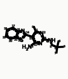 Cc1nc(NCC(C)(C)C)nc(N)c1-c1nc2ccccc2s1